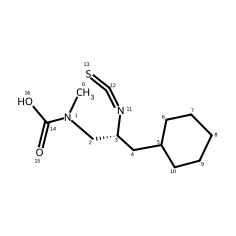 CN(C[C@@H](CC1CCCCC1)N=C=S)C(=O)O